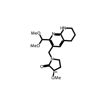 COC(OC)c1nc2c(cc1CN1CC[C@@H](OC)C1=O)CCCN2